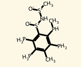 CPc1c(P)c(C)c(P)c(P)c1[S+]([O-])N[S+](C)[O-]